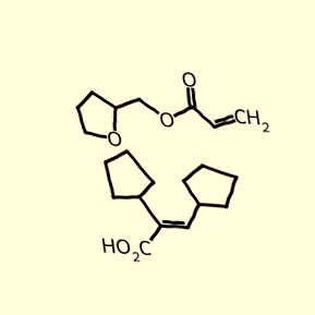 C=CC(=O)OCC1CCCO1.O=C(O)C(=CC1CCCC1)C1CCCC1